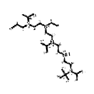 CCCN(CCN(CC)CCN(CCNCCN(C(C)C)C(C)(C)C)C(C)C)C(C)C